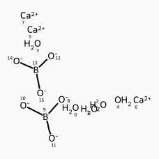 O.O.O.O.O.[Ca+2].[Ca+2].[Ca+2].[O-]B([O-])[O-].[O-]B([O-])[O-]